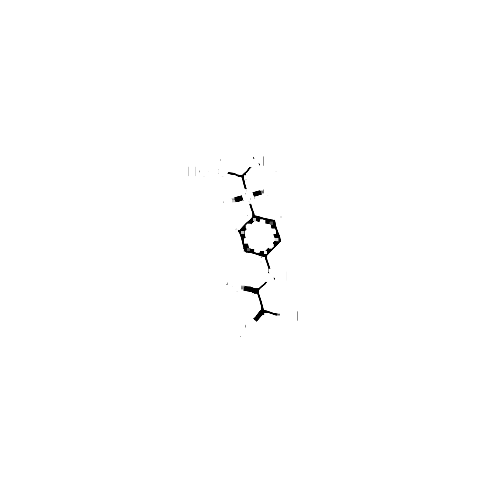 C=C(C)C(=O)Nc1ccc(S(=O)(=O)C(N)C(=O)O)cc1